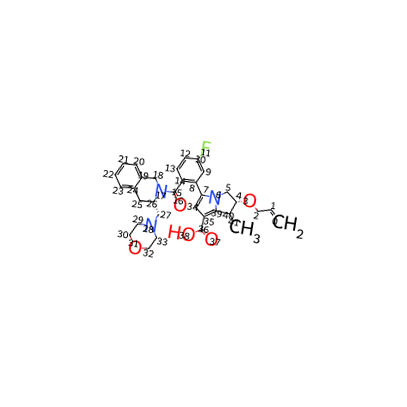 C=CCO[C@H]1Cn2c(-c3cc(F)ccc3C(=O)N3Cc4ccccc4C[C@H]3CN3CCOCC3)cc(C(=O)O)c2C1C